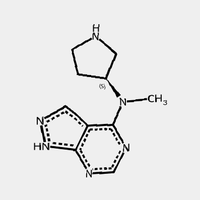 CN(c1ncnc2[nH]ncc12)[C@H]1CCNC1